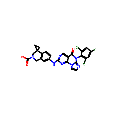 O=C(O)N1Cc2cc(Nc3ncc4c(=O)n(-c5c(Cl)cc(F)cc5Cl)c5nccn5c4n3)ccc2C2(CC2)C1